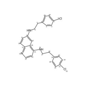 Clc1ccc(CCNc2ccc3nccc(NCCc4ccc(Cl)cc4)c3c2)cc1